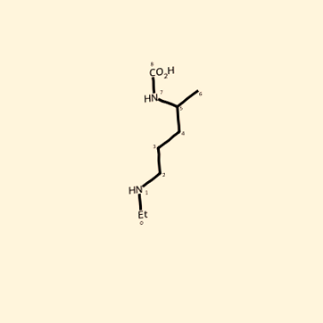 CCNCCCC(C)NC(=O)O